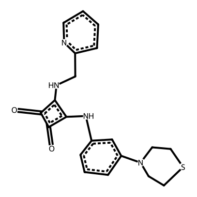 O=c1c(NCc2ccccn2)c(Nc2cccc(N3CCSCC3)c2)c1=O